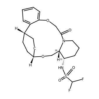 O=C1COc2ccccc2[C@H]2CC[C@H](CC2)OC[C@H]2[C@@H](NS(=O)(=O)C(F)F)CCCN12